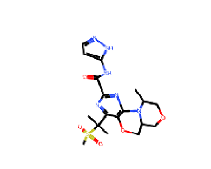 CC1COCC2COc3c(nc(C(=O)Nc4ccn[nH]4)nc3C(C)(C)S(C)(=O)=O)N12